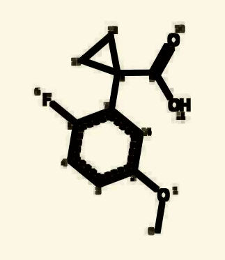 COc1ccc(F)c(C2(C(=O)O)CC2)c1